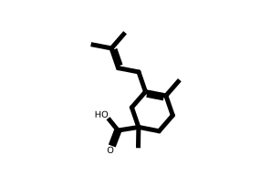 CC(C)=CCC1=C(C)CCC(C)(C(=O)O)C1